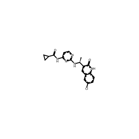 C[C@H](Nc1nccc(NC(=O)C2CC2)n1)c1cc2cc(Cl)ccc2[nH]c1=O